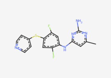 Cc1cc(Nc2cc(F)c(Sc3ccncc3)cc2F)nc(N)n1